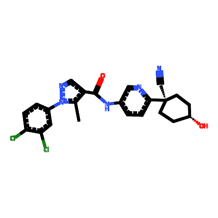 Cc1c(C(=O)Nc2ccc([C@]3(C#N)CC[C@@H](O)CC3)nc2)cnn1-c1ccc(Cl)c(Cl)c1